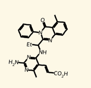 CCC(Nc1nc(N)nc(C)c1/C=C/C(=O)O)c1nc2cccc(C)c2c(=O)n1-c1ccccc1